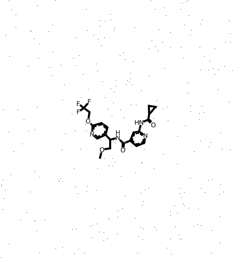 COCC(NC(=O)c1ccnc(NC(=O)C2CC2)c1)c1ccc(OCC(F)(F)F)nc1